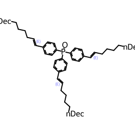 CCCCCCCCCCCCCC/C=C/c1ccc(P(=O)(c2ccc(/C=C/CCCCCCCCCCCCCC)cc2)c2ccc(/C=C/CCCCCCCCCCCCCC)cc2)cc1